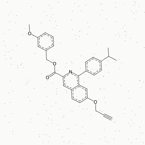 C#CCOc1ccc2cc(C(=O)OCc3cccc(OC)c3)nc(-c3ccc(C(C)C)cc3)c2c1